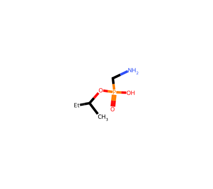 CCC(C)OP(=O)(O)CN